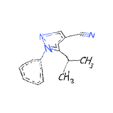 CC(C)c1c(C#N)cnn1-c1ccccc1